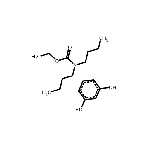 CCCCN(CCCC)C(=O)OCC.Oc1cccc(O)c1